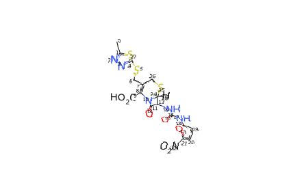 Cc1nnc(SCC2=C(C(=O)O)N3C(=O)C(NC(=O)Nc4ccc([N+](=O)[O-])o4)[C@H]3SC2)s1